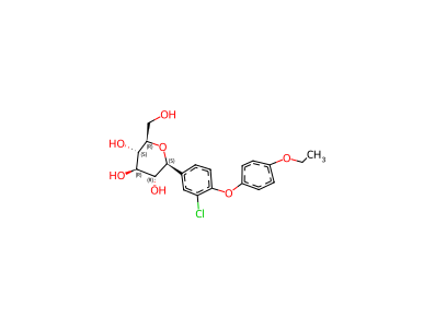 CCOc1ccc(Oc2ccc([C@@H]3O[C@H](CO)[C@@H](O)[C@H](O)[C@H]3O)cc2Cl)cc1